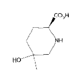 CC1(O)CC[C@@H](C(=O)O)NC1